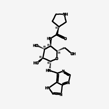 O=C(N[C@@H]1[C@@H](O)[C@H](O)[C@@H](Nc2ncnc3nc[nH]c23)O[C@H]1CO)[C@H]1CCNC1